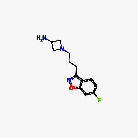 NC1CN(CCCc2noc3cc(F)ccc23)C1